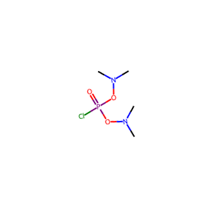 CN(C)OP(=O)(Cl)ON(C)C